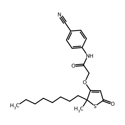 CCCCCCCCC1(C)SC(=O)C=C1OCC(=O)Nc1ccc(C#N)cc1